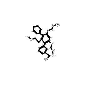 COCCc1c(-c2ccccc2)c(OCOC)cc(OCOC)c1-c1cccc(CO)c1